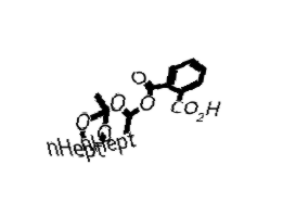 CCCCCCCOC(C)(OCCCCCCC)OC(C)OC(=O)c1ccccc1C(=O)O